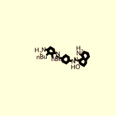 CCCCc1c(N)ccc(N=Nc2ccc(N=Nc3c(O)ccc4cccc(N)c34)cc2)c1CCCC